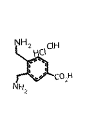 Cl.Cl.NCc1ccc(C(=O)O)cc1CN